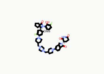 COc1cc(N2CCC(CN3CCN(CC4CCN(c5ccc6c(c5)CN([C@H]5CCC(=O)NC5=O)C6=O)CC4)CC3)CC2)c(F)cc1[C@@H]1N(c2cccc(F)c2O)C(=O)C12CCCC2